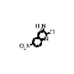 Nc1cc2cc([N+](=O)[O-])ccc2nc1Cl